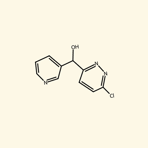 OC(c1cccnc1)c1ccc(Cl)nn1